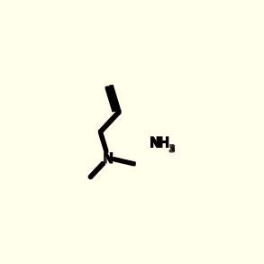 C=CCN(C)C.N